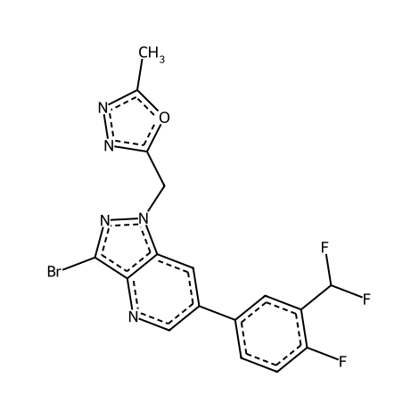 Cc1nnc(Cn2nc(Br)c3ncc(-c4ccc(F)c(C(F)F)c4)cc32)o1